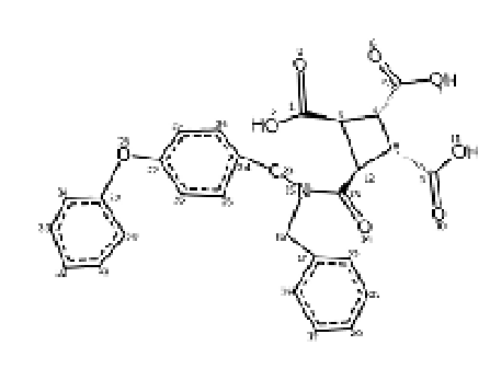 O=C(O)[C@H]1[C@H](C(=O)O)[C@H](C(=O)O)[C@H]1C(=O)N(Cc1ccccc1)Cc1ccc(Oc2ccccc2)cc1